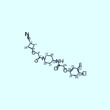 N#C[C@H]1C[C@@H](OCC(=O)N2CCC(NC(=O)COc3ccc(Cl)c(F)c3)CC2)C1